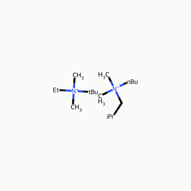 CCCC[N+](C)(C)CC(C)C.CC[N+](C)(C)C(C)(C)C